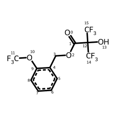 O=C(OCc1ccccc1OC(F)(F)F)C(O)(C(F)(F)F)C(F)(F)F